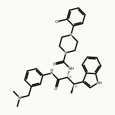 C[C@H](c1c[nH]c2ccccc12)[C@@H](NC(=O)N1CCN(c2ccccc2Cl)CC1)C(=O)Nc1cccc(CN(C)C)c1